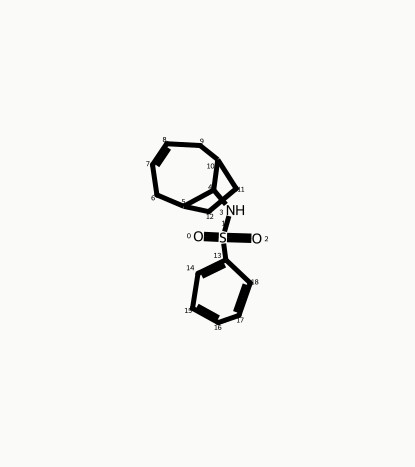 O=S(=O)(NC1C2CC=CCC1CC2)c1ccccc1